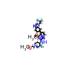 COCCN1CC[C@H](Nc2nc(OC)c3c(-c4ccc5ncn(CC(F)F)c5c4)ccn3n2)[C@H](F)C1